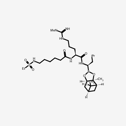 CCS(=O)(=O)NCCCCCC(=O)N[C@@H](CCCNC(=N)NC)C(=O)N[C@@H](CC(C)C)B1O[C@@H]2C[C@@H]3C[C@@H](C3(C)C)[C@]2(C)O1